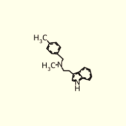 Cc1ccc(CN(C)CCc2c[nH]c3ccccc23)cc1